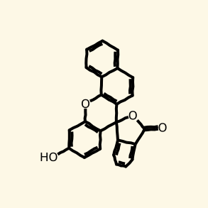 O=C1OC2(c3ccc(O)cc3Oc3c2ccc2ccccc32)c2ccccc21